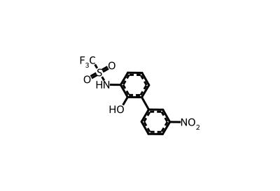 O=[N+]([O-])c1cccc(-c2cccc(NS(=O)(=O)C(F)(F)F)c2O)c1